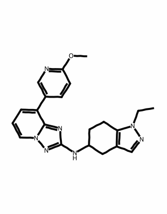 CCn1ncc2c1CCC(Nc1nc3c(-c4ccc(OC)nc4)cccn3n1)C2